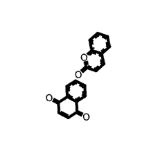 O=C1C=CC(=O)c2ccccc21.O=c1ccc2ccccc2o1